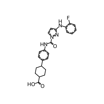 O=C(O)C1CCC(c2ccc(NC(=O)n3ccc(Nc4ccccc4F)n3)cc2)CC1